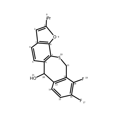 CC(C)c1cc2ccc3c(c2o1)SCc1c(ccc(F)c1F)C3O